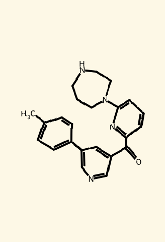 Cc1ccc(-c2cncc(C(=O)c3cccc(N4CCCNCC4)n3)c2)cc1